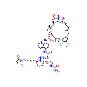 COc1cc2cc(c1Cl)N(C)C(=O)C[C@H](OC(=O)Nc1ccc(NC(=O)[C@H](CCCNC(N)=O)NC(=O)[C@@H](NC(=O)CCCCCN3C(=O)C=CC3=O)C(C)C)c3cccnc13)[C@]1(C)O[C@H]1[C@H](C)[C@@H]1C[C@@](O)(NC(=O)O1)[C@H](OC)/C=C/C=C(\C)C2